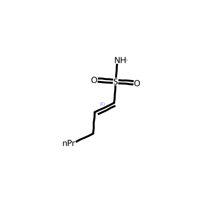 CCCC/C=C/S([NH])(=O)=O